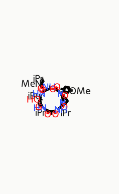 CC[C@H](C)[C@H]1NC(=O)[C@@H](NC(=O)[C@@H](CC(C)C)NC)[C@@H](C)OC(=O)[C@H](Cc2ccc(OC)cc2)N(C)C(=O)C2CCCN2C(=O)[C@H](CC(C)C)NC(=O)[C@@H](C)C(=O)[C@H](C(C)C)NC(=O)C[C@@H]1O